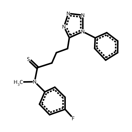 CN(C(=S)CCCc1nnnn1-c1ccccc1)c1ccc(F)cc1